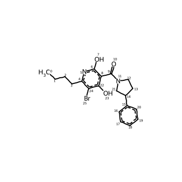 CCCCc1nc(O)c(C(=O)N2CCC(c3ccccc3)C2)c(O)c1Br